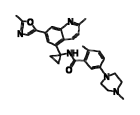 Cc1ccc2c(C3(NC(=O)c4cc(N5CCN(C)CC5)ccc4C)CC3)cc(-c3cnc(C)o3)cc2n1